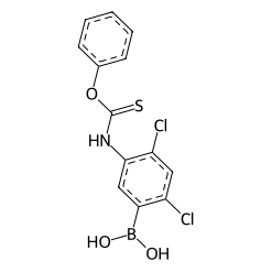 OB(O)c1cc(NC(=S)Oc2ccccc2)c(Cl)cc1Cl